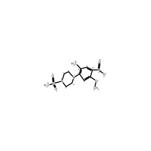 COc1cc(N2CCN(S(C)(=O)=O)CC2)c(C)cc1[N+](=O)[O-]